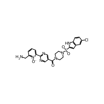 NCc1cccc(-c2ncc(C(=O)N3CCN(S(=O)(=O)c4cc5cc(Cl)ccc5[nH]4)CC3)cn2)[n+]1[O-]